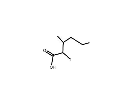 CCCC(C)C(I)C(=O)O